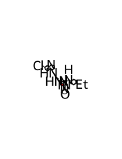 CCc1ccc(Nc2nc(NCCCNc3ccnc4cc(Cl)ccc34)nc(N3CCOCC3)n2)cc1